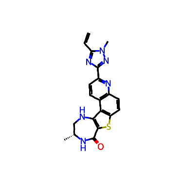 C=Cc1nc(-c2ccc3c(ccc4sc5c(c43)NC[C@@H](C)NC5=O)n2)nn1C